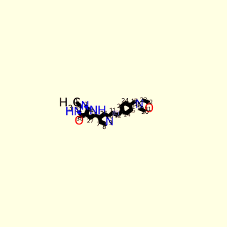 Cc1nc2[nH]c(-c3ccnc(/C=C/c4ccc(CN5CCOCC5)cc4)c3)cc2c(=O)[nH]1